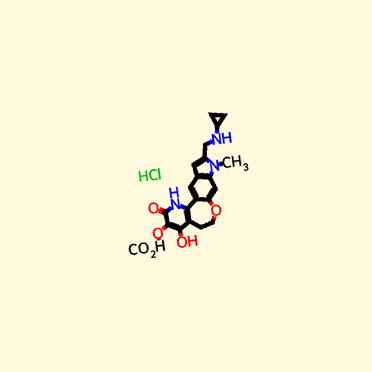 Cl.Cn1c(CNC2CC2)cc2cc3c(cc21)OCCc1c-3[nH]c(=O)c(OC(=O)O)c1O